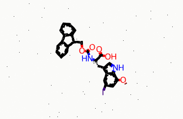 COc1cc(I)cc2c(C[C@H](NC(=O)OCC3c4ccccc4-c4ccccc43)C(=O)O)c[nH]c12